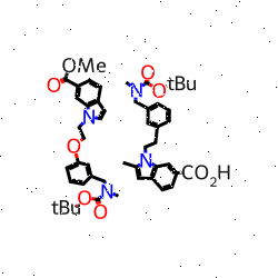 COC(=O)c1ccc2ccn(CCOc3cccc(CN(C)C(=O)OC(C)(C)C)c3)c2c1.Cc1cc2ccc(C(=O)O)cc2n1CCc1cccc(CN(C)C(=O)OC(C)(C)C)c1